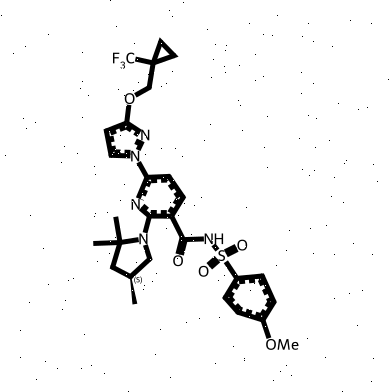 COc1ccc(S(=O)(=O)NC(=O)c2ccc(-n3ccc(OCC4(C(F)(F)F)CC4)n3)nc2N2C[C@@H](C)CC2(C)C)cc1